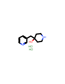 Cl.Cl.OC1(Cc2cccnc2)CCNCC1